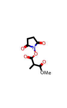 COC(=O)C(C)C(=O)ON1C(=O)CCC1=O